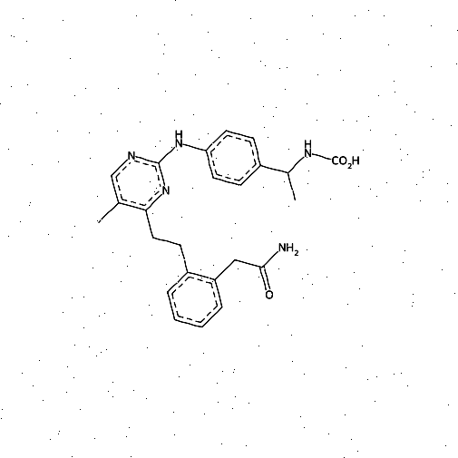 Cc1cnc(Nc2ccc(C(C)NC(=O)O)cc2)nc1CCc1ccccc1CC(N)=O